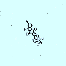 C#Cc1ccc2c(c1)[nH]c1c2c(=O)c2cc(OCCCC)c(-c3cccc(S(=O)(=O)F)c3)cc2n1CC